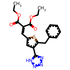 CCOC(=O)C(=Cc1cc(-c2nnn[nH]2)c(Cc2ccccc2)s1)C(=O)OCC